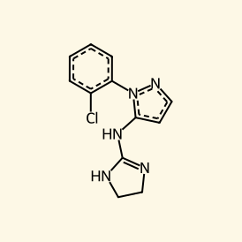 Clc1ccccc1-n1nccc1NC1=NCCN1